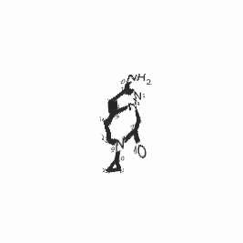 Nc1cc2n(n1)CC(=O)N(C1CC1)CC2